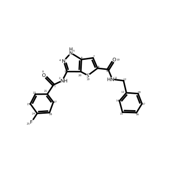 O=C(Nc1n[nH]c2cc(C(=O)NCc3ccccc3)sc12)c1ccc(F)cc1